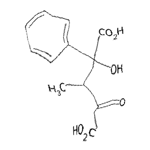 CC(C(=O)C(=O)O)C(O)(C(=O)O)c1ccccc1